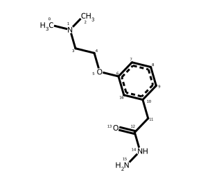 CN(C)CCOc1cccc(CC(=O)NN)c1